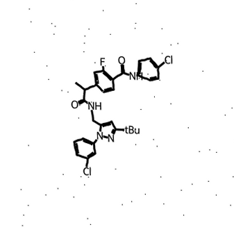 CC(C(=O)NCc1cc(C(C)(C)C)nn1-c1cccc(Cl)c1)c1ccc(C(=O)Nc2ccc(Cl)cc2)c(F)c1